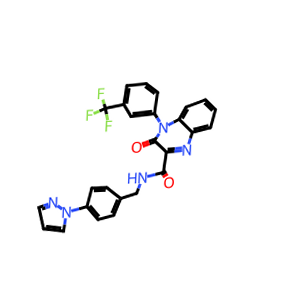 O=C(NCc1ccc(-n2cccn2)cc1)c1nc2ccccc2n(-c2cccc(C(F)(F)F)c2)c1=O